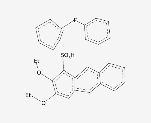 CCOc1cc2cc3ccccc3cc2c(S(=O)(=O)O)c1OCC.c1ccc([I+]c2ccccc2)cc1